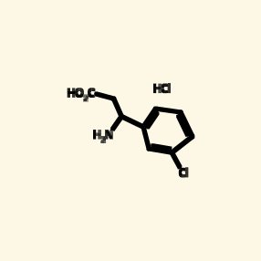 Cl.NC(CC(=O)O)c1cccc(Cl)c1